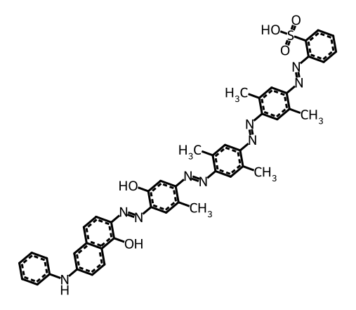 Cc1cc(N=Nc2cc(O)c(N=Nc3ccc4cc(Nc5ccccc5)ccc4c3O)cc2C)c(C)cc1N=Nc1cc(C)c(N=Nc2ccccc2S(=O)(=O)O)cc1C